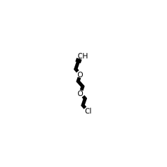 C#CCOCCOCCCl